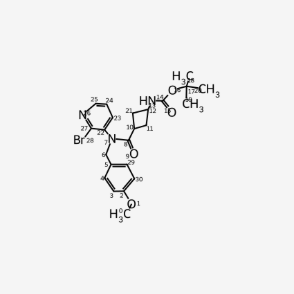 COc1ccc(CN(C(=O)C2CC(NC(=O)OC(C)(C)C)C2)c2cccnc2Br)cc1